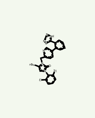 CCCCc1cn(-c2c(Cl)cccc2CC)c(=O)n1Cc1ccc(-c2ccccc2-c2nnn[nH]2)cn1